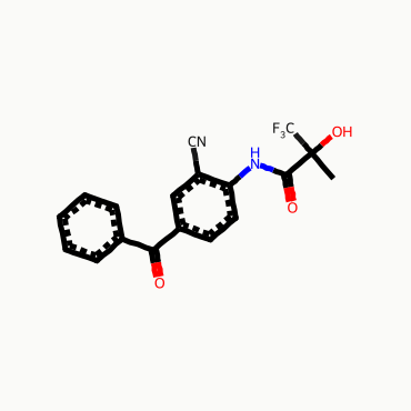 CC(O)(C(=O)Nc1ccc(C(=O)c2ccccc2)cc1C#N)C(F)(F)F